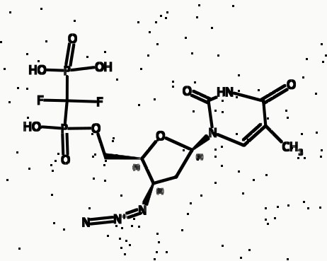 Cc1cn([C@H]2C[C@@H](N=[N+]=[N-])[C@@H](COP(=O)(O)C(F)(F)P(=O)(O)O)O2)c(=O)[nH]c1=O